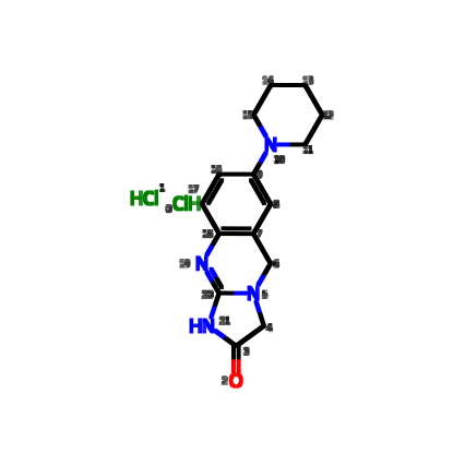 Cl.Cl.O=C1CN2Cc3cc(N4CCCCC4)ccc3N=C2N1